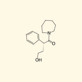 O=C([C@H](CCO)c1ccccc1)N1CCCCCC1